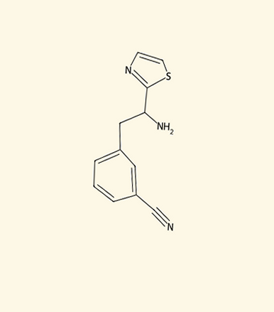 N#Cc1cccc(CC(N)c2nccs2)c1